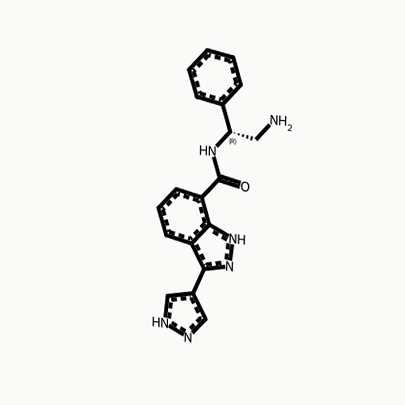 NC[C@H](NC(=O)c1cccc2c(-c3cn[nH]c3)n[nH]c12)c1ccccc1